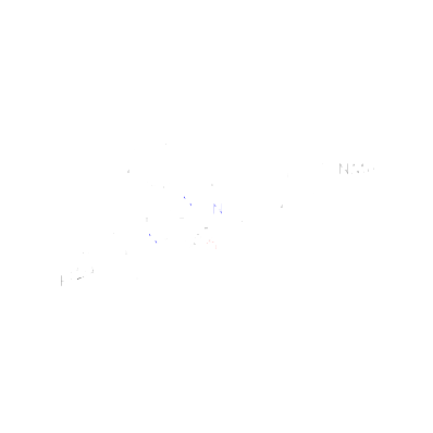 CNCCCCCCN1CN(c2ccccc2)C2(CCN([C@H]3CC[C@H](C(C)C)CC3)CC2)C1=O